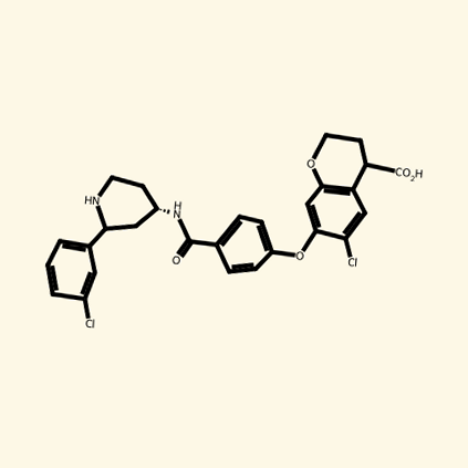 O=C(N[C@H]1CCNC(c2cccc(Cl)c2)C1)c1ccc(Oc2cc3c(cc2Cl)C(C(=O)O)CCO3)cc1